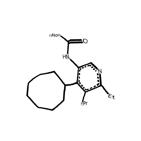 CCCCCCCCCC(=O)Nc1cnc(CC)c(CCC)c1C1CCCCCCC1